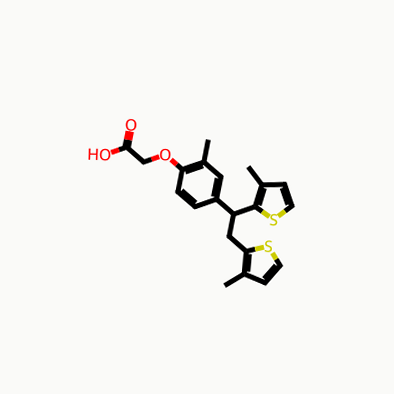 Cc1cc(C(Cc2sccc2C)c2sccc2C)ccc1OCC(=O)O